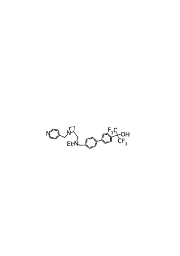 CCN(Cc1ccc(-c2ccc(C(O)(C(F)(F)F)C(F)(F)F)cc2)cc1)CC1CCN1Cc1ccncc1